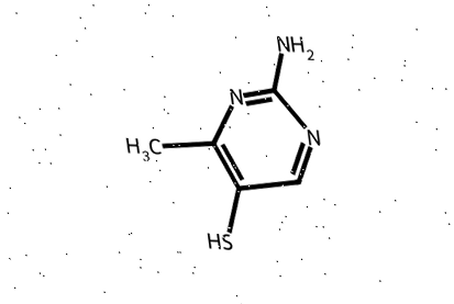 Cc1nc(N)ncc1S